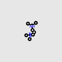 C1=CC2CCC3CC(c4nc(-c5ccccc5)cc(-c5ccccc5)n4)CCC3C2c2nc(-c3ccccc3)n(-c3ccccc3)c21